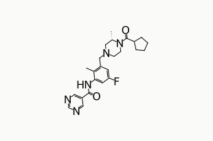 Cc1c(CN2CCN(C(=O)C3CCCC3)[C@@H](C)C2)cc(F)cc1NC(=O)c1cncnc1